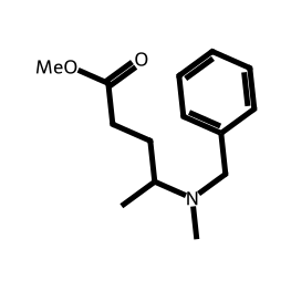 COC(=O)CCC(C)N(C)Cc1ccccc1